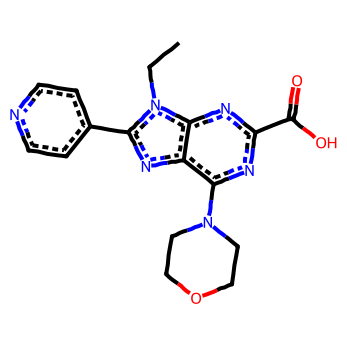 CCn1c(-c2ccncc2)nc2c(N3CCOCC3)nc(C(=O)O)nc21